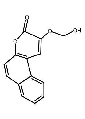 O=c1oc2ccc3ccccc3c2cc1OCO